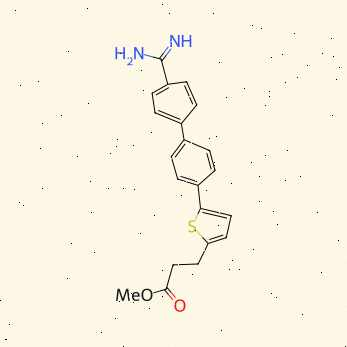 COC(=O)CCc1ccc(-c2ccc(-c3ccc(C(=N)N)cc3)cc2)s1